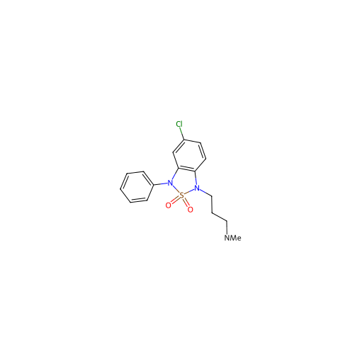 CNCCCN1c2ccc(Cl)cc2N(c2ccccc2)S1(=O)=O